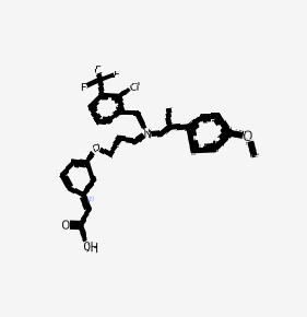 COc1ccc(C(C)CN(CCCOC2=CC=C/C(=C\C(=O)O)C2)Cc2cccc(C(F)(F)F)c2Cl)cc1